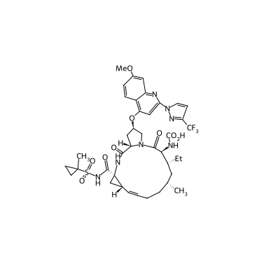 CC[C@@H]1C[C@H](C)CC/C=C\[C@@H]2C[C@@]2(C(=O)NS(=O)(=O)C2(C)CC2)NC(=O)[C@@H]2C[C@@H](Oc3cc(-n4ccc(C(F)(F)F)n4)nc4cc(OC)ccc34)CN2C(=O)[C@H]1NC(=O)O